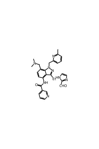 CCc1nn(Cc2cccc(C)n2)c2c(CN(C)C)ccc(NC(=O)c3cccnc3)c12.O=Cc1ncc[nH]1